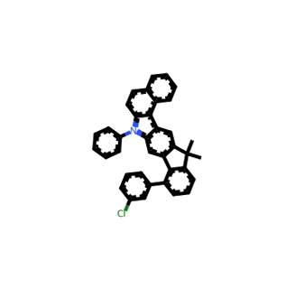 CC1(C)c2cc3c4c5ccccc5ccc4n(-c4ccccc4)c3cc2-c2c(-c3cccc(Cl)c3)cccc21